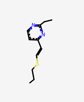 CCCS/C=C/c1ccnc(CC)n1